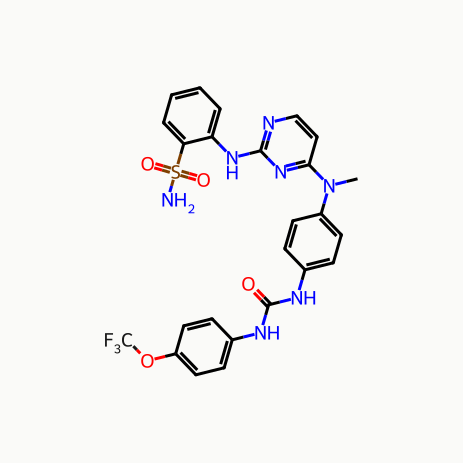 CN(c1ccc(NC(=O)Nc2ccc(OC(F)(F)F)cc2)cc1)c1ccnc(Nc2ccccc2S(N)(=O)=O)n1